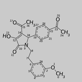 COc1cccc(CCN2C(=O)C(O)=C(C(C)=O)C2c2ccc(C(C)=O)cc2)c1